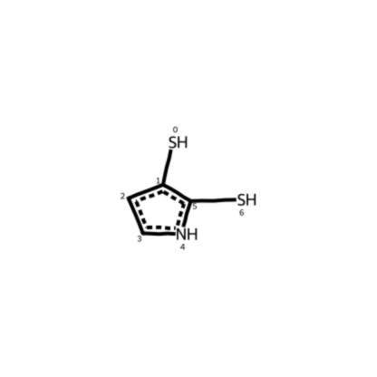 Sc1cc[nH]c1S